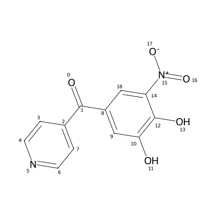 O=C(c1ccncc1)c1cc(O)c(O)c([N+](=O)[O-])c1